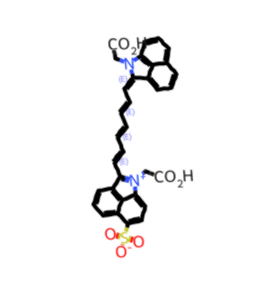 O=C(O)Cn1/c(=C/C=C/C=C/C=C/C2=[N+](CC(=O)O)c3ccc(S(=O)(=O)[O-])c4cccc2c34)c2cccc3cccc1c32